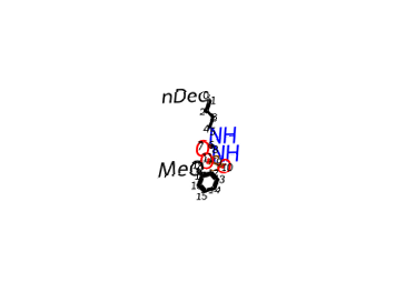 CCCCCCCCCCCCCCNC(=O)NS(=O)(=O)c1ccccc1OC